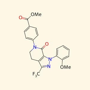 COC(=O)c1ccc(N2CCc3c(C(F)(F)F)nn(-c4ccccc4OC)c3C2=O)cc1